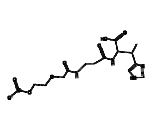 CC(c1c[nH]cn1)C(NC(=O)CCNC(=O)COCCO[N+](=O)[O-])C(=O)O